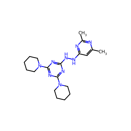 Cc1cc(NNc2nc(N3CCCCC3)nc(N3CCCCC3)n2)nc(C)n1